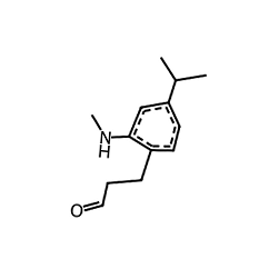 CNc1cc(C(C)C)ccc1CCC=O